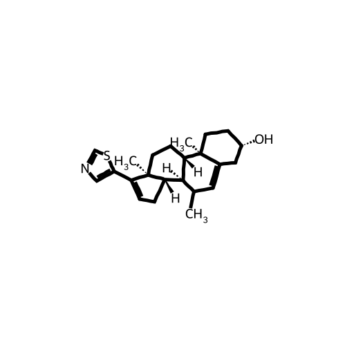 CC1C=C2C[C@@H](O)CC[C@]2(C)[C@H]2CC[C@]3(C)C(c4cncs4)=CC[C@H]3[C@H]12